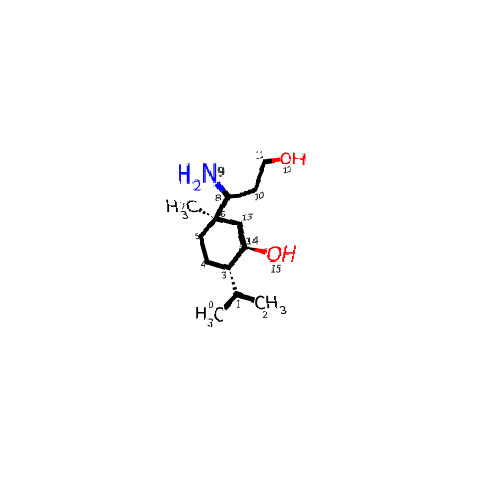 CC(C)[C@@H]1CC[C@@](C)(C(N)CCO)C[C@H]1O